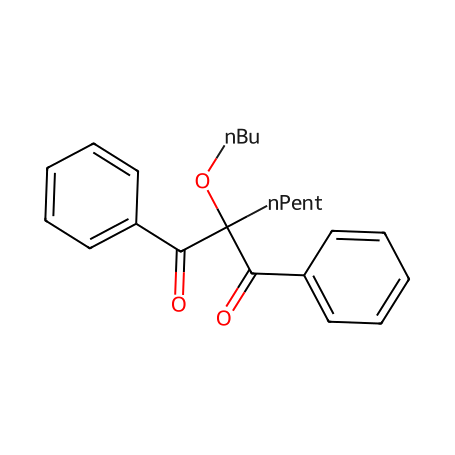 CCCCCC(OCCCC)(C(=O)c1ccccc1)C(=O)c1ccccc1